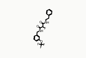 O=C(N[CH]Cc1ccccc1)C(F)C(=O)NCc1cccc(OC(F)(F)F)c1